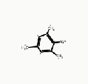 Cc1cc(C)[c]([W])c(C)c1